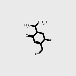 CC(C)CC1=CC(=O)C(C(C)C(=O)O)CC1F